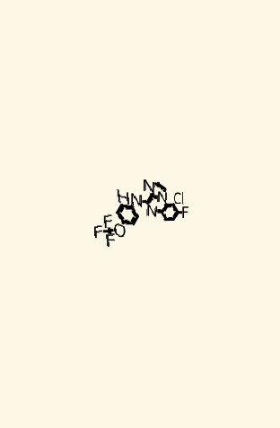 Fc1ccc2nc(Nc3ccc(OC(F)(F)F)cc3)c3nccn3c2c1Cl